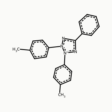 Cc1ccc(-n2nc(-c3ccccc3)n[n+]2-c2ccc(C)cc2)cc1